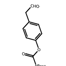 CCCCCC(=O)Oc1ccc(C[C]=O)cc1